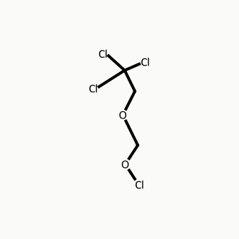 ClOCOCC(Cl)(Cl)Cl